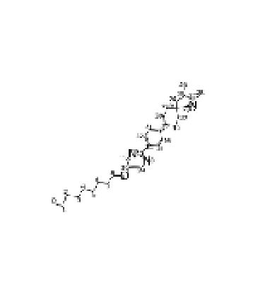 CCCCCCCCCOc1cnc(-c2ccc([C@H]3CC[C@@](C#N)(C[C@H](C)CC)CC3)cc2)nc1